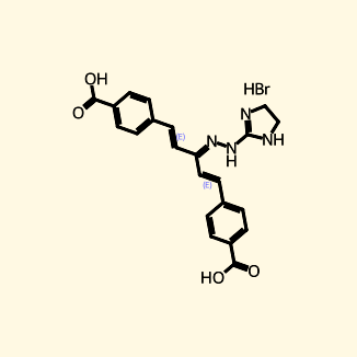 Br.O=C(O)c1ccc(/C=C/C(/C=C/c2ccc(C(=O)O)cc2)=NNC2=NCCN2)cc1